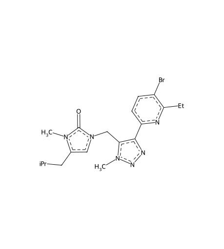 CCc1nc(-c2nnn(C)c2Cn2cc(CC(C)C)n(C)c2=O)ccc1Br